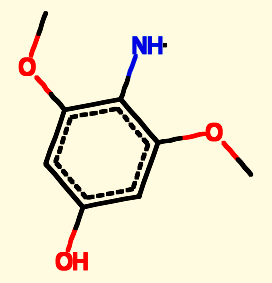 COc1cc(O)cc(OC)c1[NH]